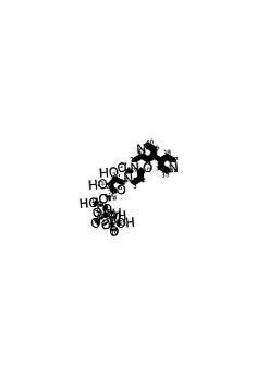 O=c1ccn([C@@H]2O[C@H](COP(=O)(O)OP(=O)(O)OP(=O)(O)O)[C@H](O)C2O)c(=O)n1Cc1cc(-c2ccncc2)ccn1